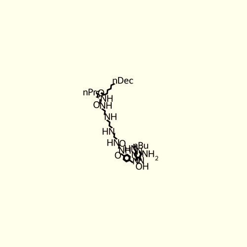 [CH2][CH]CSC[C@H](NC(=O)CCCCCCCCCCCCCCC)C(=O)NCCCNCCCCNCCCNC(=O)CNC(=O)c1ccc(Cn2c(O)nc3c(N)nc(NCCCC)nc32)cc1